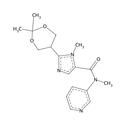 CN(C(=O)c1cnc(C2COC(C)(C)OC2)n1C)c1cccnc1